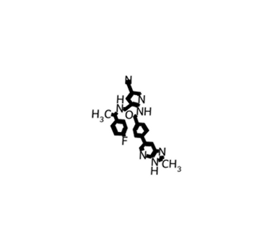 Cc1nc2cc(-c3ccc(CNc4ncc(C#N)cc4C(=O)NC(C)c4ccc(F)cc4)cc3)cnc2[nH]1